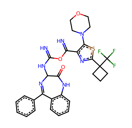 N=C(NC1N=C(c2ccccc2)c2ccccc2NC1=O)OC(=N)c1nc(C2(C(F)(F)F)CCC2)sc1N1CCOCC1